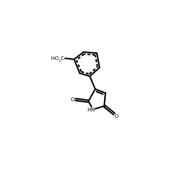 O=C1C=C(c2cccc(C(=O)O)c2)C(=O)N1